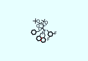 CC(C)(C)OC(=O)N1[C@@H]([C@H](OCc2ccccc2)[C@H](Cc2cc(F)cc(F)c2)N(Cc2ccccc2)Cc2ccccc2)COC1(C)C